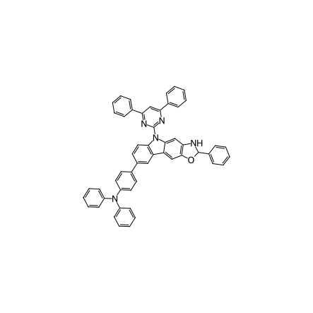 c1ccc(-c2cc(-c3ccccc3)nc(-n3c4ccc(-c5ccc(N(c6ccccc6)c6ccccc6)cc5)cc4c4cc5c(cc43)NC(c3ccccc3)O5)n2)cc1